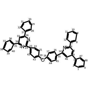 c1ccc(-c2cc(-c3ccccc3)nc(-c3ccc(Oc4ccc(-c5nc(-c6ccccc6)cc(-c6ccccc6)n5)cc4)cc3)c2)cc1